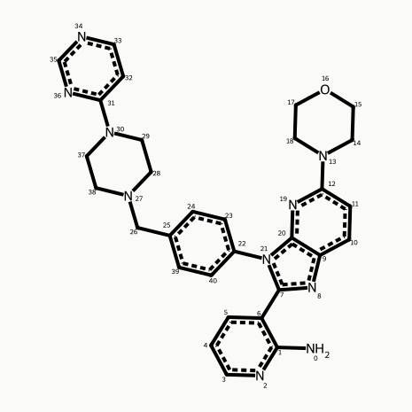 Nc1ncccc1-c1nc2ccc(N3CCOCC3)nc2n1-c1ccc(CN2CCN(c3ccncn3)CC2)cc1